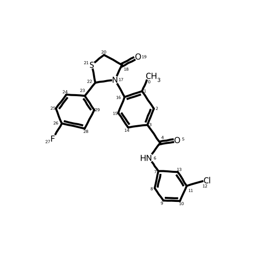 Cc1cc(C(=O)Nc2cccc(Cl)c2)ccc1N1C(=O)CSC1c1ccc(F)cc1